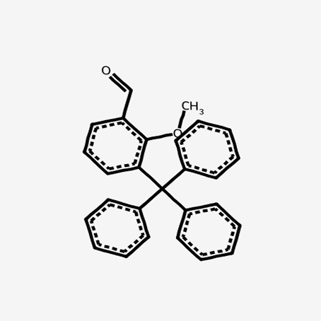 COc1c(C=O)cccc1C(c1ccccc1)(c1ccccc1)c1ccccc1